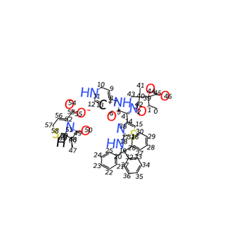 CC(ON=C(C(=O)NC1=CCNC=[C+]1)c1csc(NC(c2ccccc2)(c2ccccc2)c2ccccc2)n1)C1(C(C)(C)C)OC1=O.C[C@@H]1C(=O)N2C(C(=O)[O-])=CCS[C@@H]12